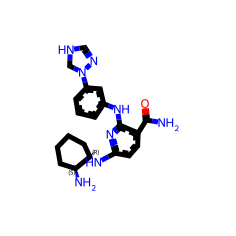 NC(=O)c1ccc(N[C@@H]2CCCC[C@@H]2N)nc1Nc1cccc(N2CNC=N2)c1